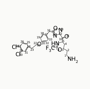 NCCCCC(NC(=O)C(F)(F)F)C(=O)c1noc(Cc2ccc(OCCc3ccc(Cl)c(Cl)c3)cc2)n1